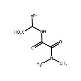 CCCC(NC(=O)C(=O)N(C)C)C(=O)O